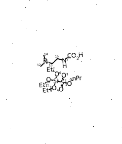 CCCOS(=O)(=O)[Si](OCC)(OCC)OCC.CN(C)CCNC(=O)O